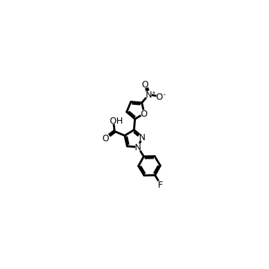 O=C(O)c1cn(-c2ccc(F)cc2)nc1-c1ccc([N+](=O)[O-])o1